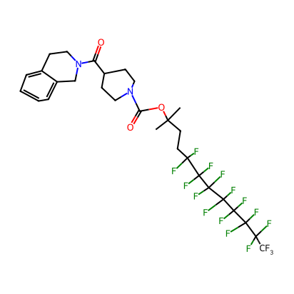 CC(C)(CCC(F)(F)C(F)(F)C(F)(F)C(F)(F)C(F)(F)C(F)(F)C(F)(F)C(F)(F)F)OC(=O)N1CCC(C(=O)N2CCc3ccccc3C2)CC1